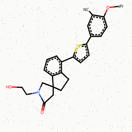 CC(C)Oc1ccc(-c2ccc(-c3cccc4c3CCC43CC(=O)N(CCO)C3)s2)cc1C#N